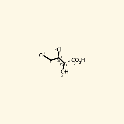 O=C(O)[C@H](O)[C@H](Cl)CCl